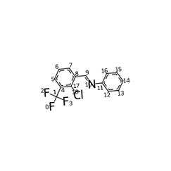 FC(F)(F)c1cccc(C=Nc2ccccc2)c1Cl